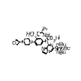 CC(C)[C@H](N)C(=O)O.CCC[CH2][Sn]([CH2]CCC)([CH2]CCC)[c]1cn2ccnc2c(N(C(=O)O)c2ccc(N3CCN(C4COC4)CC3)cc2)n1